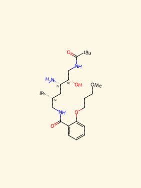 COCCCOc1ccccc1C(=O)NC[C@@H](C[C@H](N)[C@@H](O)CNC(=O)C(C)(C)C)C(C)C